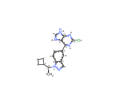 C[C@@H](C1CCC1)n1ncc2cc(-c3nc(Cl)nc4[nH]cnc34)ccc21